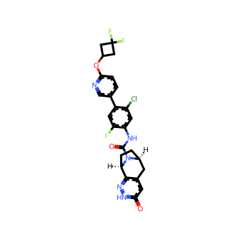 O=C(Nc1cc(Cl)c(-c2ccc(OC3CC(F)(F)C3)nc2)cc1F)N1[C@H]2CC[C@@H]1c1n[nH]c(=O)cc1C2